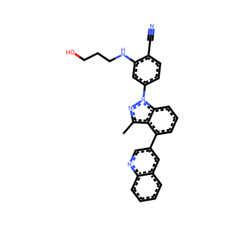 Cc1nn(-c2ccc(C#N)c(NCCCO)c2)c2cccc(-c3cnc4ccccc4c3)c12